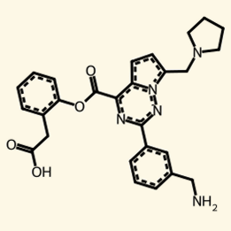 NCc1cccc(-c2nc(C(=O)Oc3ccccc3CC(=O)O)c3ccc(CN4CCCC4)n3n2)c1